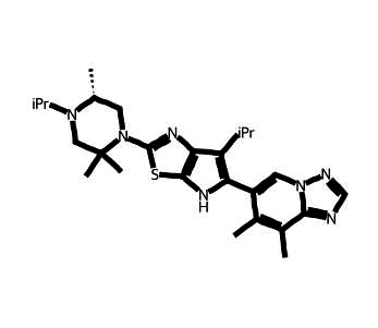 Cc1c(-c2[nH]c3sc(N4C[C@@H](C)N(C(C)C)CC4(C)C)nc3c2C(C)C)cn2ncnc2c1C